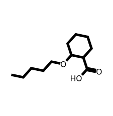 CCCCCOC1CCCCC1C(=O)O